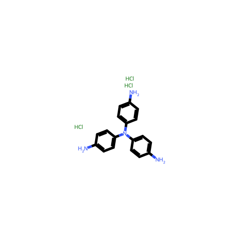 Cl.Cl.Cl.Nc1ccc(N(c2ccc(N)cc2)c2ccc(N)cc2)cc1